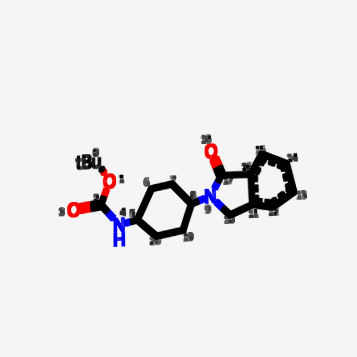 CC(C)(C)OC(=O)NC1CCC(N2Cc3ccccc3C2=O)CC1